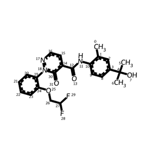 Cc1cc(C(C)(C)O)ccc1NC(=O)c1ccnn(-c2ccccc2OCC(F)F)c1=O